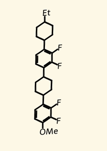 CCC1CCC(c2ccc(C3CCC(c4ccc(OC)c(F)c4F)CC3)c(F)c2F)CC1